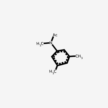 CC(=O)N(C)c1cc(C)cc(C)c1